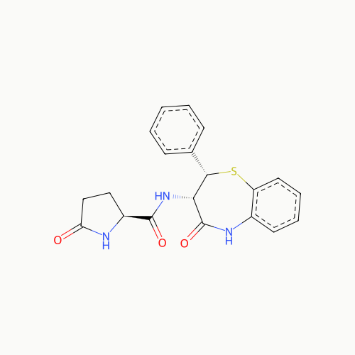 O=C1CC[C@@H](C(=O)N[C@H]2C(=O)Nc3ccccc3S[C@H]2c2ccccc2)N1